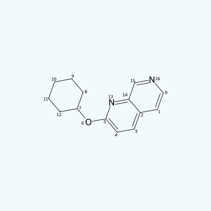 c1cc2ccc(OC3CCCCC3)nc2cn1